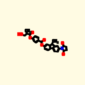 C=C(CO)C(=O)Oc1ccc(C(=O)Oc2ccc3c(c2)C(C)c2cc(N4C(=O)C=CC4=O)ccc2-3)cc1